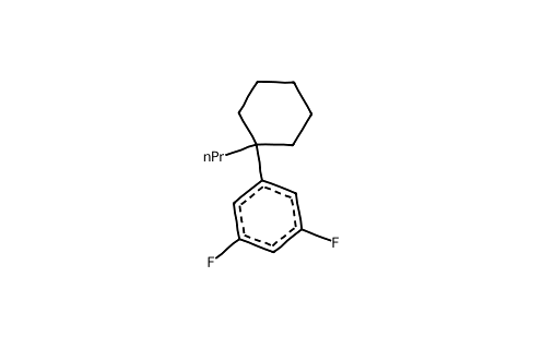 CCCC1(c2cc(F)cc(F)c2)CCCCC1